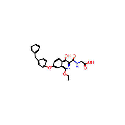 CCOc1nc(C(=O)NCC(=O)O)c(O)c2ccc(Oc3ccc(Cc4ccccc4)cc3)cc12